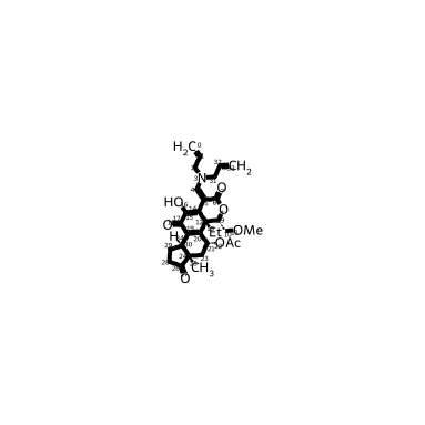 C=CCN(/C=C1\C(=O)O[C@H](COC)[C@@]2(CC)C1=C(O)C(=O)C1=C2[C@H](OC(C)=O)C[C@]2(C)C(=O)CC[C@@H]12)CC=C